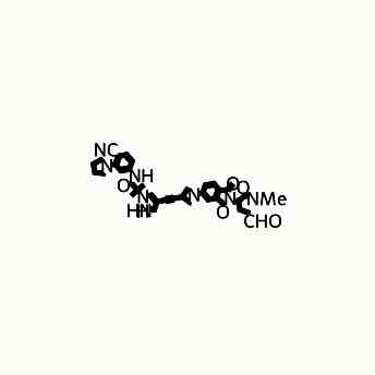 CNC(=O)C(CCC=O)N1C(=O)c2ccc(N3CC(C#C/C(C=N)=C/NC(C)(C)C(=O)Nc4ccc(C#N)c(N5CCCC5)c4)C3)cc2C1=O